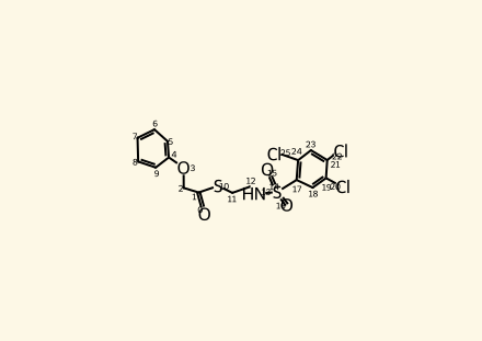 O=C(COc1ccccc1)SCCNS(=O)(=O)c1cc(Cl)c(Cl)cc1Cl